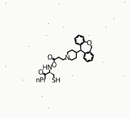 CCCC(=O)[C@H](CS)NOC(=O)CCN1CCC(C2c3ccccc3COc3ccccc32)CC1